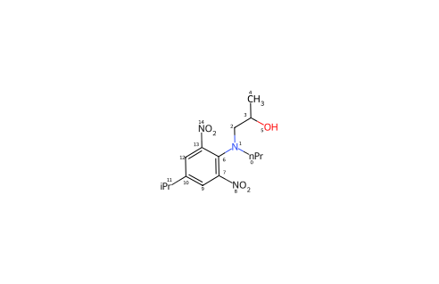 CCCN(CC(C)O)c1c([N+](=O)[O-])cc(C(C)C)cc1[N+](=O)[O-]